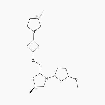 COC1CCC(N2C[C@@H](C)CC2COC2CC(N3CC[C@H](C)C3)C2)C1